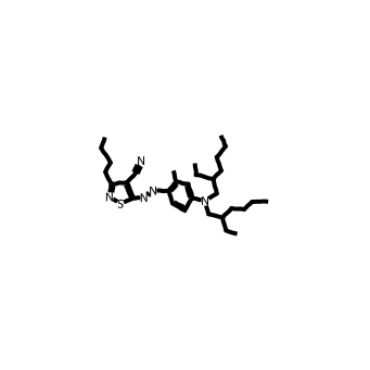 CCCCc1nsc(/N=N/c2ccc(N(CC(CC)CCCC)CC(CC)CCCC)cc2C)c1C#N